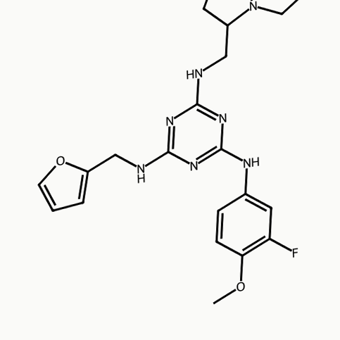 CCN1CCCC1CNc1nc(NCc2ccco2)nc(Nc2ccc(OC)c(F)c2)n1